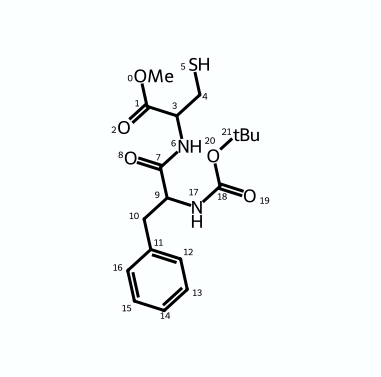 COC(=O)C(CS)NC(=O)C(Cc1ccccc1)NC(=O)OC(C)(C)C